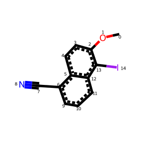 COc1ccc2c(C#N)cccc2c1I